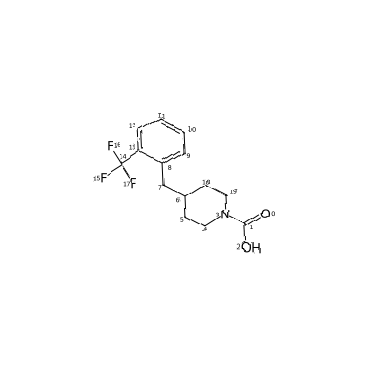 O=C(O)N1CCC(Cc2ccccc2C(F)(F)F)CC1